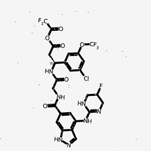 O=C(CNC(=O)c1cc(NC2=NCC(F)CN2)c2cn[nH]c2c1)N[C@@H](CC(=O)OC(=O)C(F)(F)F)c1cc(Cl)cc(OC(F)(F)F)c1